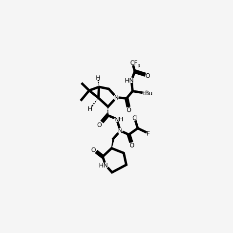 CC(C)(C)C(NC(=O)C(F)(F)F)C(=O)N1C[C@H]2[C@@H]([C@H]1C(=O)NN(C[C@H]1CCCNC1=O)C(=O)C(F)Cl)C2(C)C